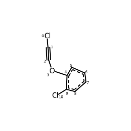 ClC#COc1ccccc1Cl